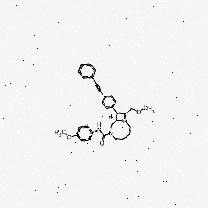 COC[C@@H]1C(c2ccc(C#Cc3ccccc3)cc2)[C@@H]2CN(C(=O)Nc3ccc(OC)cc3)CCCCN12